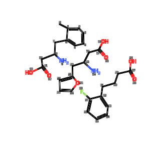 Cc1ccccc1CC(N)CC(=O)O.NC(CC(=O)O)Cc1ccco1.O=C(O)CCCc1ccccc1F